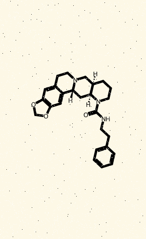 O=C(NCCc1ccccc1)N1CCC[C@@H]2CN3CCc4cc5c(cc4[C@H]3C[C@@H]21)OCO5